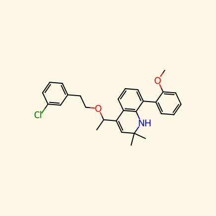 COc1ccccc1-c1cccc2c1NC(C)(C)C=C2C(C)OCCc1cccc(Cl)c1